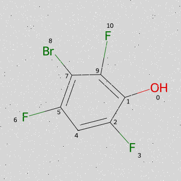 Oc1c(F)cc(F)c(Br)c1F